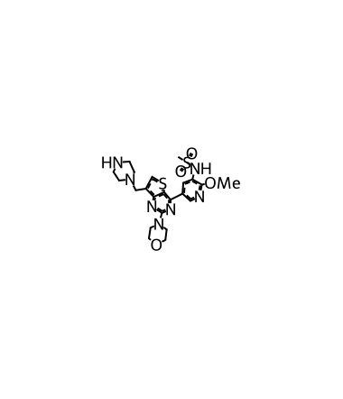 COc1ncc(-c2nc(N3CCOCC3)nc3c(CN4CCNCC4)csc23)cc1NS(C)(=O)=O